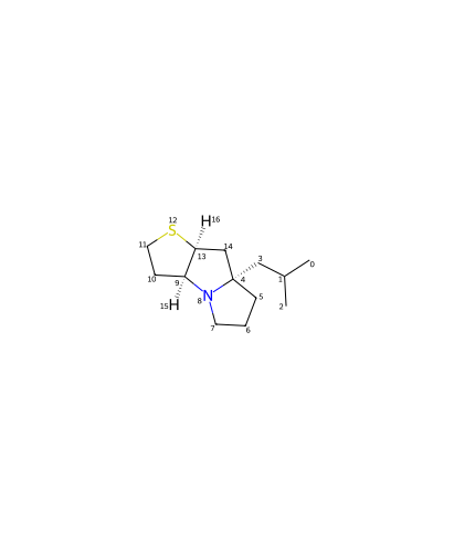 CC(C)C[C@]12CCCN1[C@H]1CCS[C@H]1C2